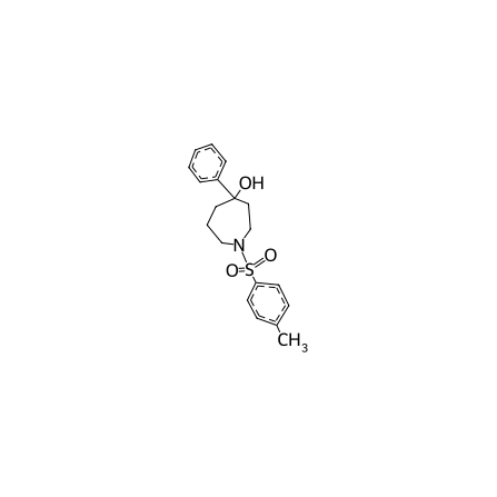 Cc1ccc(S(=O)(=O)N2CCCC(O)(c3ccccc3)CC2)cc1